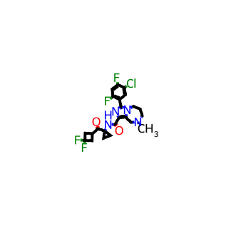 CN1CCCn2c(-c3cc(Cl)c(F)cc3F)nc(C(=O)NC3(C(=O)C4CC(F)(F)C4)CC3)c2C1